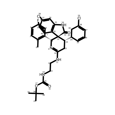 Cc1ccc(F)cc1[C@H]1N=C(NCCNC(=O)OC(C)(C)C)C[C@@H](C2C=CC=C(Cl)C2)[C@]12C(=O)Nc1cc(Cl)ccc12